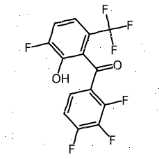 O=C(c1ccc(F)c(F)c1F)c1c(C(F)(F)F)ccc(F)c1O